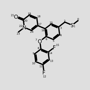 CSCc1ccc(Oc2ccc(F)cc2F)c(-c2ccc(=O)n(C)c2)c1